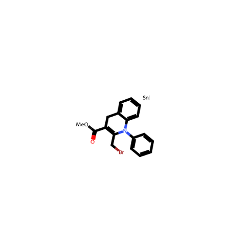 COC(=O)C1=C(CBr)N(c2ccccc2)c2ccccc2C1.[Sn]